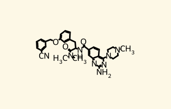 CN1CCN(c2nc(N)nc3cc(C(=O)NC(Cc4cccc(OCc5cccc(C#N)c5)c4)C(=O)N(C)C)ccc23)CC1